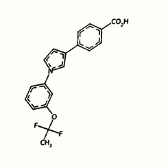 CC(F)(F)Oc1cccc(-n2ccc(-c3ccc(C(=O)O)cc3)c2)c1